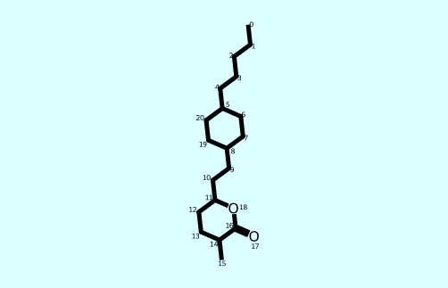 CCCCCC1CCC(CCC2CCC(C)C(=O)O2)CC1